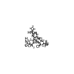 CC1(C(N)=O)CCC(n2c(Nc3c(Cl)cc(C(F)(F)F)cc3Cl)nc3cnc(NC4CCC4)nc32)CC1